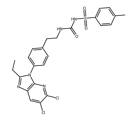 CCc1nc2cc(Cl)c(Cl)nc2n1-c1ccc(CCNC(=O)NS(=O)(=O)c2ccc(C)cc2)cc1